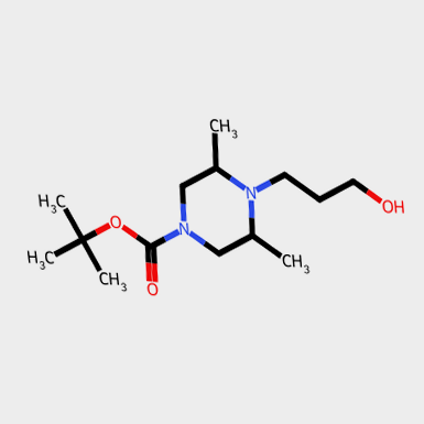 CC1CN(C(=O)OC(C)(C)C)CC(C)N1CCCO